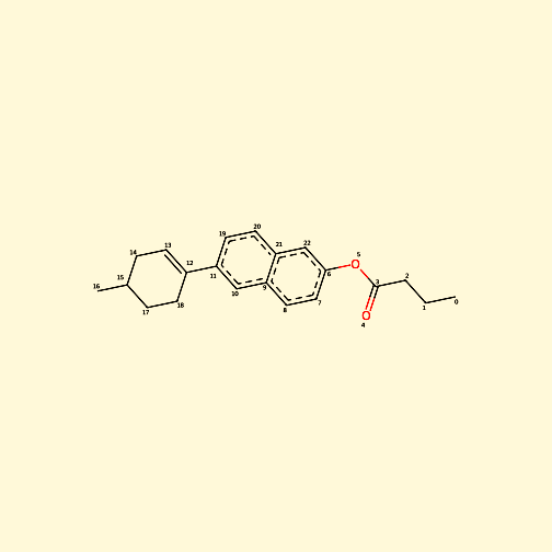 CCCC(=O)Oc1ccc2cc(C3=CCC(C)CC3)ccc2c1